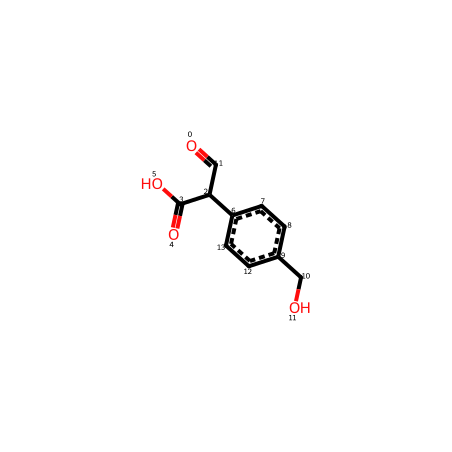 O=[C]C(C(=O)O)c1ccc(CO)cc1